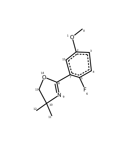 COc1ccc(F)c(C2=NC(C)(C)CO2)c1